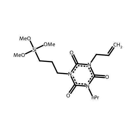 C=CCn1c(=O)n(CCC)c(=O)n(CCC[Si](OC)(OC)OC)c1=O